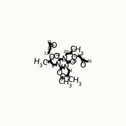 COC(C)Cn1c(=O)n(CC(C)OCC2CO2)c(=O)n(CC(C)OCC2CO2)c1=O